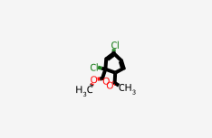 COC(=O)C1(Cl)C=C(Cl)C=CC1C(C)=O